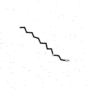 CCCCCCCCCCSCCO